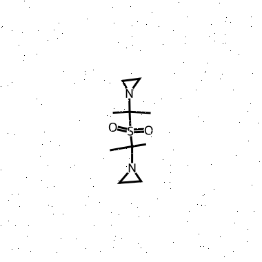 CC(C)(N1CC1)S(=O)(=O)C(C)(C)N1CC1